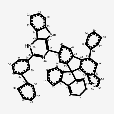 C1=C2C(=CCC1)C1(c3ccccc32)c2cc(C3=C4Sc5ccccc5C4NC(c4cccc(-c5ccccc5)c4)=N3)ccc2-c2c(-c3ccccc3)cc3ccccc3c21